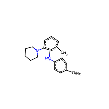 COc1ccc(Nc2c(C)cccc2N2CCCCC2)cc1